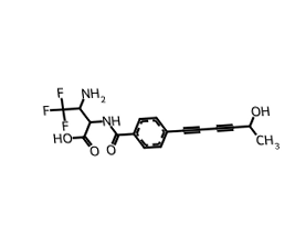 CC(O)C#CC#Cc1ccc(C(=O)NC(C(=O)O)C(N)C(F)(F)F)cc1